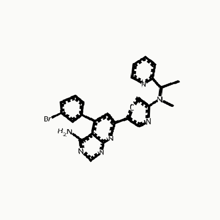 CC(c1ccccn1)N(C)c1ccc(-c2cc(-c3cccc(Br)c3)c3c(N)ncnc3n2)cn1